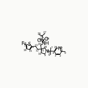 Cc1ccc(C(C)(C)N2CCC(CCc3ccc(F)s3)(CNS(=O)(=O)C(C)C)C2)cn1